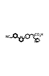 N#CCc1cccc(-c2cccc(N3CCC(CN(Cc4cscn4)C(=O)O)CC3)n2)c1